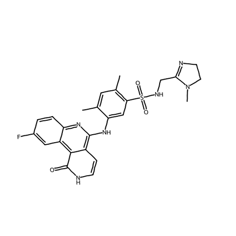 Cc1cc(C)c(S(=O)(=O)NCC2=NCCN2C)cc1Nc1nc2ccc(F)cc2c2c(=O)[nH]ccc12